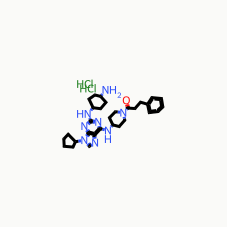 Cl.Cl.NC1CCC(Nc2nc(NC3CCN(C(=O)CCc4ccccc4)CC3)c3ncn(C4CCCC4)c3n2)CC1